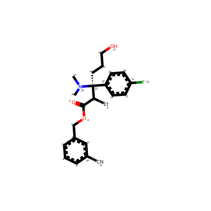 CCC(C(=O)OCc1cccc(C#N)c1)[C@](CCCO)(c1ccc(F)cc1)N(C)C